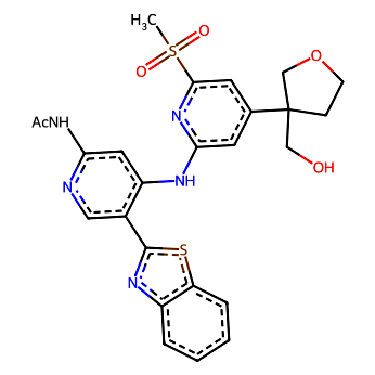 CC(=O)Nc1cc(Nc2cc(C3(CO)CCOC3)cc(S(C)(=O)=O)n2)c(-c2nc3ccccc3s2)cn1